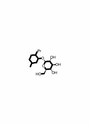 CC1CCC(C(C)C)C(O[C@H]2O[C@H](CO)[C@@H](O)[C@H](O)[C@H]2O)C1